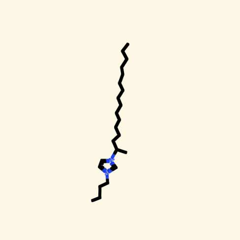 CCCCCCCCCCCCCCC(C)[n+]1ccn(CCCC)c1